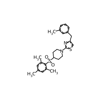 Cc1cccc(Cc2csc(N3CCC(S(=O)(=O)c4c(C)cc(C)cc4C)CC3)n2)c1